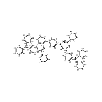 c1ccc(-c2nc(-c3ccc(-c4cccc5c4nc(-c4ccccc4)c4ccc6c(c7ccccc7n6-c6ccccc6)c45)cc3)cc(-c3cccc(-n4c5ccccc5c5ccccc54)c3)n2)cc1